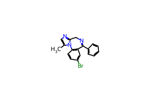 Cc1cnc2n1-c1ccc(Br)cc1C(c1ccccc1)=NC2